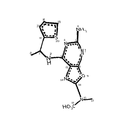 CC(Nc1nc(N)nc2oc(N(C)C(=O)O)nc12)c1cccs1